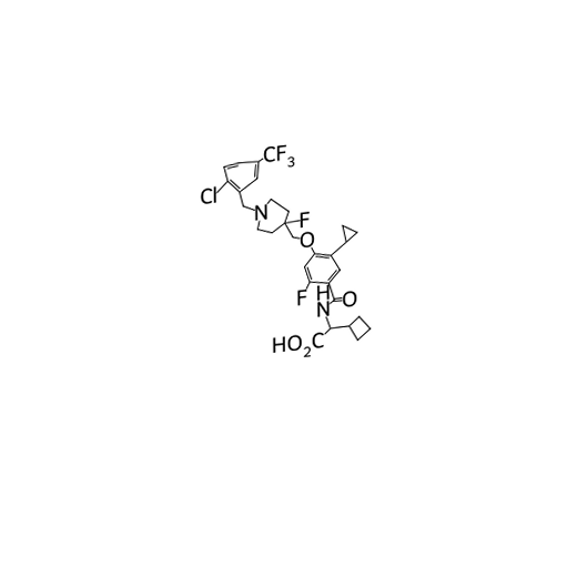 O=C(NC(C(=O)O)C1CCC1)c1cc(C2CC2)c(OCC2(F)CCN(Cc3cc(C(F)(F)F)ccc3Cl)CC2)cc1F